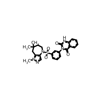 Cn1ncc2c1CC(C)(C)CCN2S(=O)(=O)c1cccc(-n2c(=O)[nH]c3ccccc3c2=O)c1